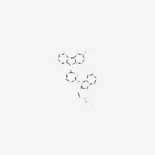 N#Cc1ccc2c(c1)c1ccccc1n2-c1cccc(-n2c3c(c4ccccc42)CC(C#N)C=C3)n1